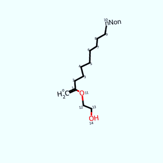 C=C(CCCCCCCCCCCCCCCCC)OCCO